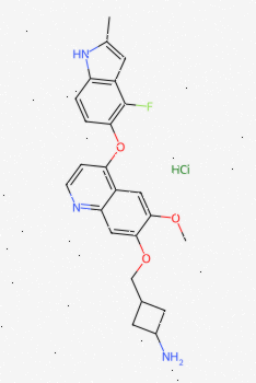 COc1cc2c(Oc3ccc4[nH]c(C)cc4c3F)ccnc2cc1OCC1CC(N)C1.Cl